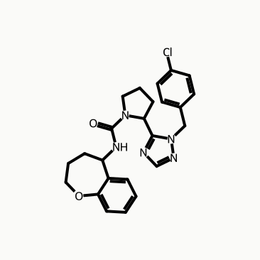 O=C(NC1CCCOc2ccccc21)N1CCCC1c1ncnn1Cc1ccc(Cl)cc1